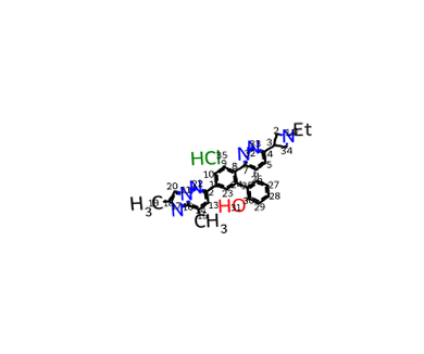 CCN1CC(c2ccc(-c3ccc(-c4cc(C)c5nc(C)cn5n4)cc3-c3ccccc3O)nn2)C1.Cl